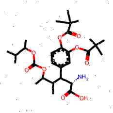 CC(C)C(C)OC(=O)OC(C)C(C)C(c1ccc(OC(=O)C(C)(C)C)c(OC(=O)C(C)(C)C)c1)[C@H](N)C(=O)O